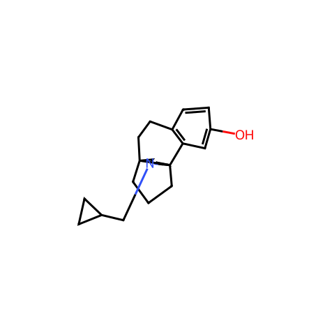 Oc1ccc2c(c1)C13CCCC1(CC2)CN(CC1CC1)CC3